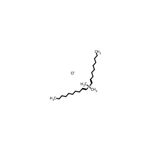 CCCCCCCCC=C[N+](C)(C)C=CCCCCCCCC.[Cl-]